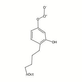 CCCCCCCCCCCCc1ccc(O[Cl+][O-])cc1O